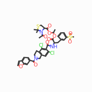 CC(=O)N1C(C(=O)OC(C)OC(=O)C(Cc2cccc(S(C)(=O)=O)c2)NC(=O)c2c(Cl)cc3c(c2Cl)CCN(C(=O)c2ccc4ccoc4c2)C3)CSC1(C)C